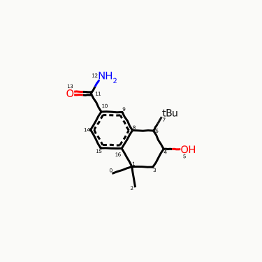 CC1(C)CC(O)C(C(C)(C)C)c2cc(C(N)=O)ccc21